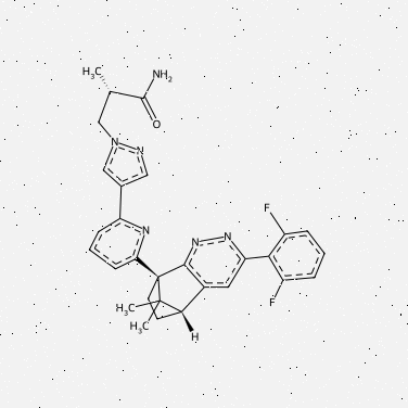 C[C@@H](Cn1cc(-c2cccc([C@@]34CC[C@@H](c5cc(-c6c(F)cccc6F)nnc53)C4(C)C)n2)cn1)C(N)=O